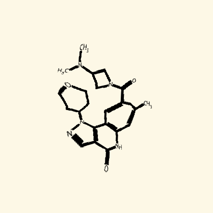 Cc1cc2[nH]c(=O)c3cnn(C4CCOCC4)c3c2cc1C(=O)N1CC(N(C)C)C1